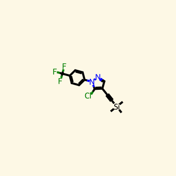 C[Si](C)(C)C#Cc1cnn(-c2ccc(C(F)(F)F)cc2)c1Cl